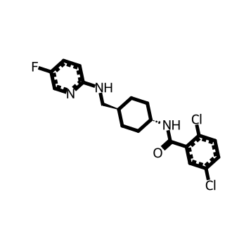 O=C(N[C@H]1CC[C@H](CNc2ccc(F)cn2)CC1)c1cc(Cl)ccc1Cl